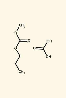 CCCOC(=O)OC.O=C(O)O